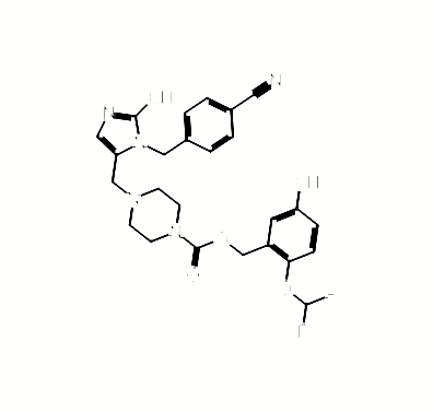 Cc1ccc(OC(F)F)c(COC(=O)N2CCN(Cc3cnc(C)n3Cc3ccc(C#N)cc3)CC2)c1